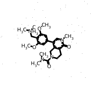 COc1cc(-c2cn(C)c(=O)c3c2CN(C(=O)N(C)C)CC3)cc(OC)c1CN(C)C